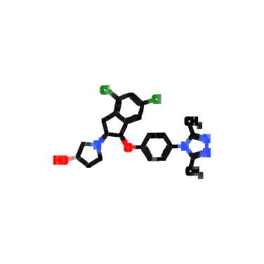 Cc1nnc(C)n1-c1ccc(O[C@@H]2c3cc(Cl)cc(Cl)c3C[C@@H]2N2CC[C@H](O)C2)cc1